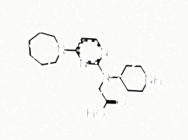 O=C(O)CN(c1nccc(N2CCCCCC2)n1)C1CCNCC1